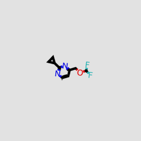 FC(F)OCc1c[c]nc(C2CC2)n1